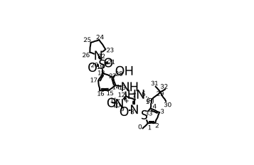 Cc1ccc([C@H](Nc2no[n+]([O-])c2Nc2cccc(S(=O)(=O)N3CCCC3)c2O)C(C)(C)C)s1